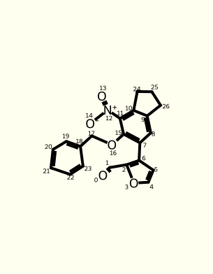 O=Cc1occc1-c1cc2c(c([N+](=O)[O-])c1OCc1ccccc1)CCC2